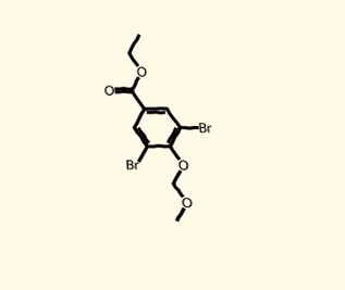 CCOC(=O)c1cc(Br)c(OCOC)c(Br)c1